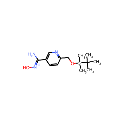 CC(C)(C)[Si](C)(C)OCc1ccc(/C(N)=N/O)cn1